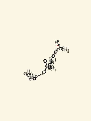 CC1(C)CCC(CN2CCN(c3ccc(C(=O)NS(=O)(=O)c4ccc(N[C@H](CCN5CCN(CCCCCOc6cccc7c6C(=O)N(C6CCC(=O)NC6=O)C7=O)CC5)CSc5ccccc5)c(S(=O)(=O)C(F)(F)F)c4)cc3)CC2)=C(C23CC(C(F)F)(C2)C3)C1